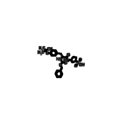 CC(C)(C)Oc1ccc(C[C@H](NC(=O)OCc2ccccc2)C(=O)NC2CCC(S(=O)(=O)O)C2)cc1